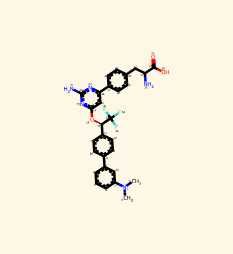 CN(C)c1cccc(-c2ccc([C@@H](Oc3cc(-c4ccc(CC(N)C(=O)O)cc4)nc(N)n3)C(F)(F)F)cc2)c1